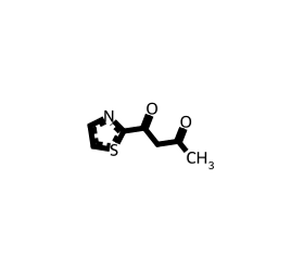 CC(=O)CC(=O)c1nccs1